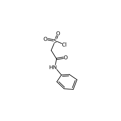 O=C(CS(=O)(=O)Cl)Nc1ccccc1